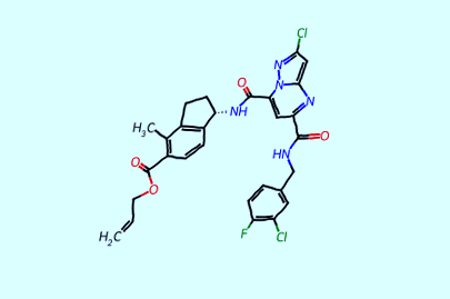 C=CCOC(=O)c1ccc2c(c1C)CC[C@@H]2NC(=O)c1cc(C(=O)NCc2ccc(F)c(Cl)c2)nc2cc(Cl)nn12